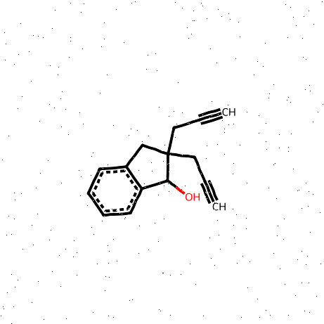 C#CCC1(CC#C)Cc2ccccc2C1O